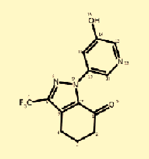 O=C1CCCc2c(C(F)(F)F)nn(-c3cncc(O)c3)c21